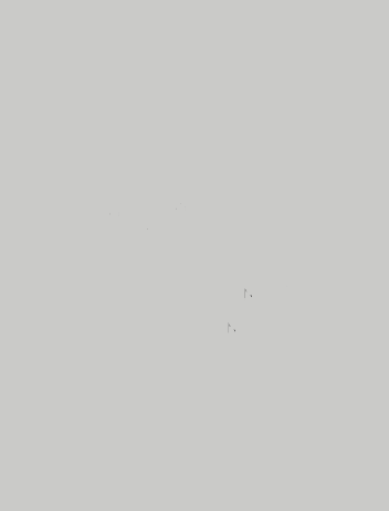 CCOC(=O)Cc1c(C)nn(C(C)C)c1C